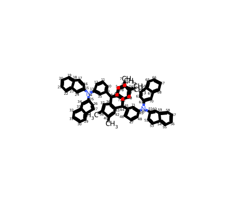 Cc1cc2c(cc1C)C1(c3cccc(N(c4ccc5ccccc5c4)c4ccc5ccccc5c4)c3)c3cc(C)c(C)cc3C2(c2cccc(N(c3ccc4ccccc4c3)c3ccc4ccccc4c3)c2)c2cc(C)c(C)cc21